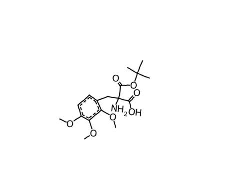 COc1ccc(CC(N)(C(=O)O)C(=O)OC(C)(C)C)c(OC)c1OC